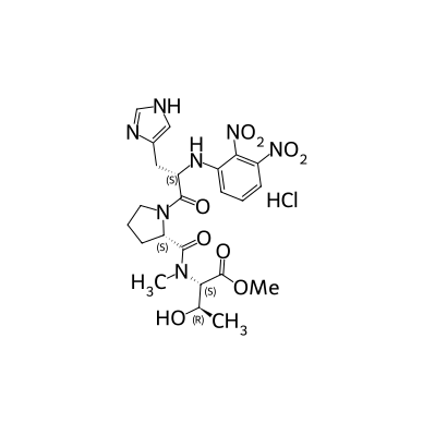 COC(=O)[C@H]([C@@H](C)O)N(C)C(=O)[C@@H]1CCCN1C(=O)[C@H](Cc1c[nH]cn1)Nc1cccc([N+](=O)[O-])c1[N+](=O)[O-].Cl